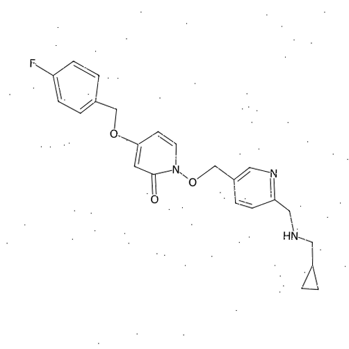 O=c1cc(OCc2ccc(F)cc2)ccn1OCc1ccc(CNCC2CC2)nc1